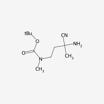 CN(CCC(C)(N)C#N)C(=O)OC(C)(C)C